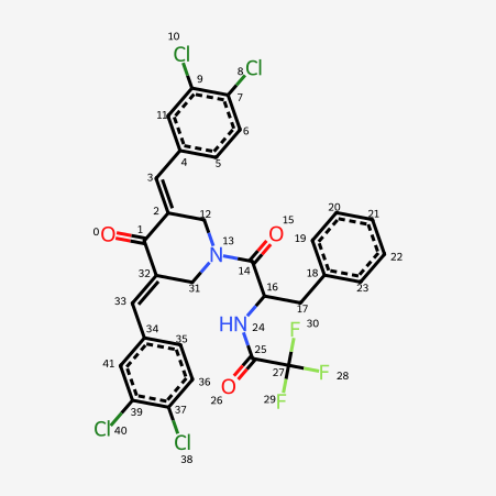 O=C1/C(=C/c2ccc(Cl)c(Cl)c2)CN(C(=O)C(Cc2ccccc2)NC(=O)C(F)(F)F)C/C1=C\c1ccc(Cl)c(Cl)c1